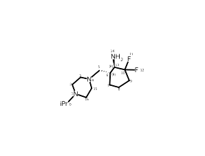 CC(C)N1CCN(C[C@H]2CCCC(F)(F)[C@@H]2N)CC1